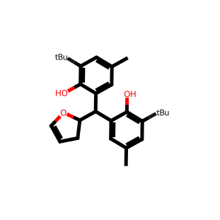 Cc1cc(C(c2cc(C)cc(C(C)(C)C)c2O)C2CC=CO2)c(O)c(C(C)(C)C)c1